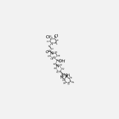 O=C(C=Cc1ccc(Cl)c(Cl)c1)N1CCC(C(O)CN2CCC(c3nc4ccccc4[nH]3)CC2)CC1